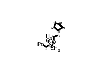 CC(C)C[Si](C)(C)OCC[C@H]1C=CCC1